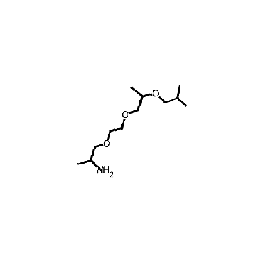 CC(C)COC(C)COCCOCC(C)N